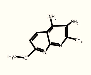 COc1ccc2c(N)c(N)c(C)nc2n1